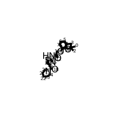 CC1(C)Cc2cccc(OCC(=O)Nc3nc(C(=O)N4CCCCC4)cs3)c2O1